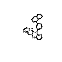 O=c1c(Cc2ncc[nH]2)nc2cccnc2n1-c1cccc(-c2cccc3ccccc23)c1